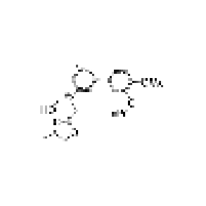 CCCOc1cc(-c2cncc([C@@H](CO)CB3OCC(C)O3)c2)ccc1OC